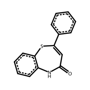 O=C1C=C(c2ccccc2)Sc2ccccc2N1